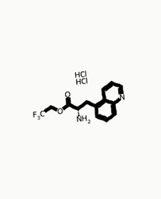 Cl.Cl.N[C@@H](Cc1cccc2ncccc12)C(=O)OCC(F)(F)F